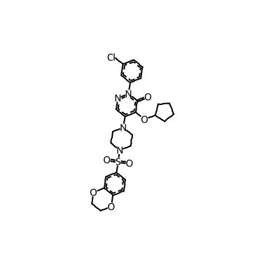 O=c1c(OC2CCCC2)c(N2CCN(S(=O)(=O)c3ccc4c(c3)OCCO4)CC2)cnn1-c1cccc(Cl)c1